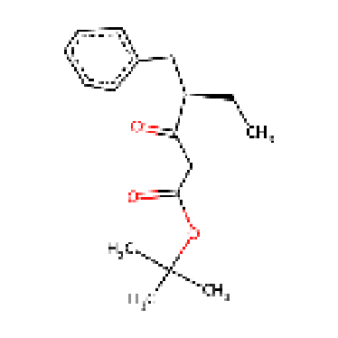 CC[C@H](Cc1ccccc1)C(=O)CC(=O)OC(C)(C)C